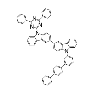 c1ccc(-c2ccc(-c3cccc(-n4c5ccccc5c5cc(-c6ccc7c(c6)c6ccccc6n7-c6nc(-c7ccccc7)nc(-c7ccccc7)n6)ccc54)c3)cc2)cc1